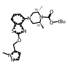 C[C@H]1CN(c2cccc3sc(OCc4ccnn4C)nc23)C[C@H](C)N1C(=O)OC(C)(C)C